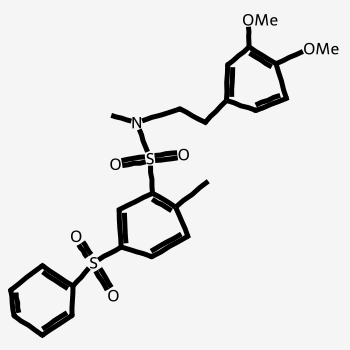 COc1ccc(CCN(C)S(=O)(=O)c2cc(S(=O)(=O)c3ccccc3)ccc2C)cc1OC